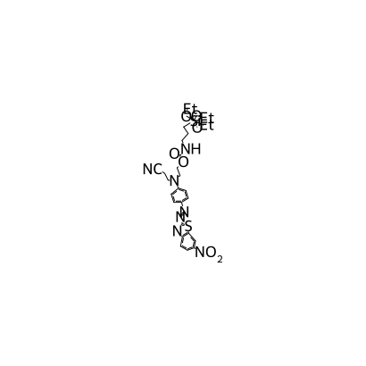 CCO[Si](CCCNC(=O)OCCN(CCC#N)c1ccc(N=Nc2nc3ccc([N+](=O)[O-])cc3s2)cc1)(OCC)OCC